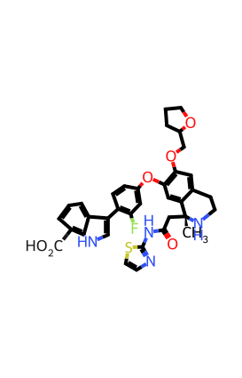 C[C@]1(CC(=O)Nc2nccs2)NCCc2cc(OCC3CCCO3)c(Oc3ccc(-c4c[nH]c5c(C(=O)O)cccc45)c(F)c3)cc21